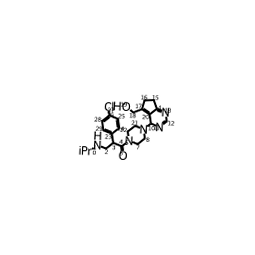 CC(C)NCC(C(=O)N1CCN(C2N=CN=C3CCC(CO)=C32)CC1)c1ccc(Cl)cc1